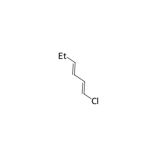 CCC=CC=CCl